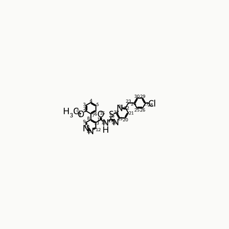 COc1ccccc1-c1cnncc1C(=O)Nc1nc2ccc(Cc3ccc(Cl)cc3)nc2s1